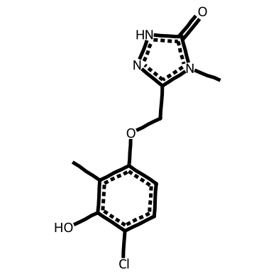 Cc1c(OCc2n[nH]c(=O)n2C)ccc(Cl)c1O